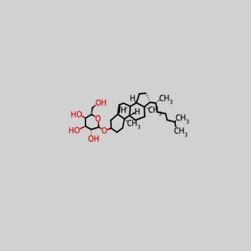 CC(C)CCC[C@@H](C)[C@H]1CC[C@H]2[C@@H]3CC=C4CC(O[C@@H]5O[C@H](CO)[C@H](O)[C@H](O)[C@H]5O)CC[C@]4(C)[C@H]3CC[C@]12C